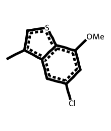 COc1cc(Cl)cc2c(C)csc12